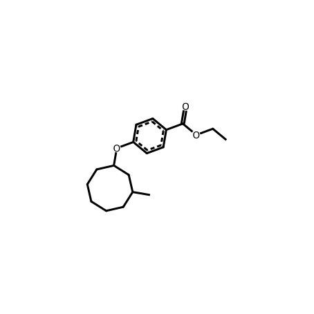 CCOC(=O)c1ccc(OC2CCCCCC(C)C2)cc1